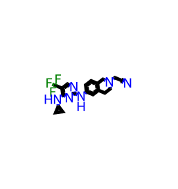 N#CCN1CCc2cc(Nc3ncc(C(F)(F)F)c(NC4CC4)n3)ccc2C1